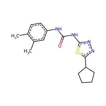 Cc1ccc(NC(=O)Nc2nnc(C3CCCC3)s2)cc1C